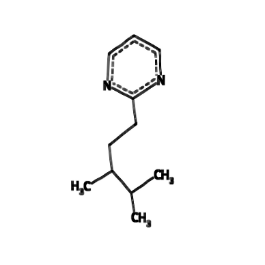 CC(C)C(C)CCc1ncccn1